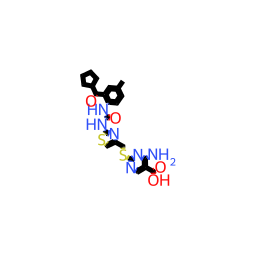 Cc1ccc(NC(=O)Nc2nc(CSc3ncc(C(=O)O)c(N)n3)cs2)c(C(=O)C2CCCC2)c1